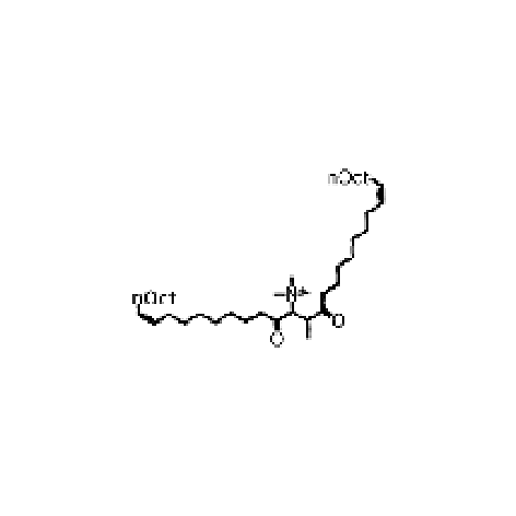 CCCCCCCC/C=C\CCCCCCCC(=O)C(C)C(C(=O)CCCCCCC/C=C\CCCCCCCC)[N+](C)(C)C